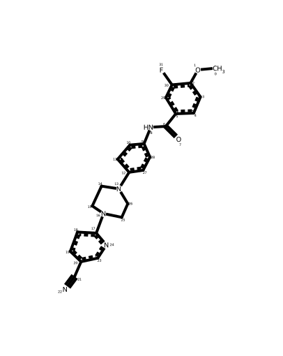 COc1ccc(C(=O)Nc2ccc(N3CCN(c4ccc(C#N)cn4)CC3)cc2)cc1F